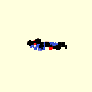 Cc1cccc(CNC(=O)NC2CCC(n3cc(-c4cccc(OCc5ccccc5)c4)c4c(N)ncnc43)CC2)c1